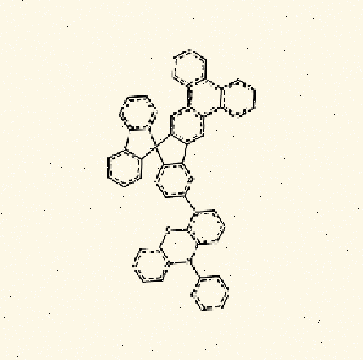 c1ccc(N2c3ccccc3Sc3c(-c4ccc5c(c4)-c4cc6c7ccccc7c7ccccc7c6cc4C54c5ccccc5-c5ccccc54)cccc32)cc1